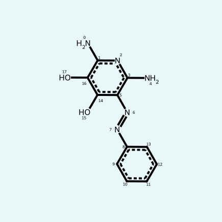 Nc1nc(N)c(N=Nc2ccccc2)c(O)c1O